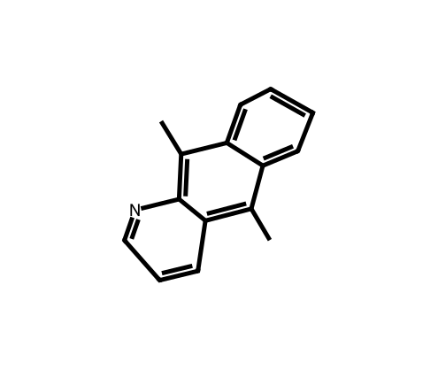 Cc1c2ccccc2c(C)c2ncccc12